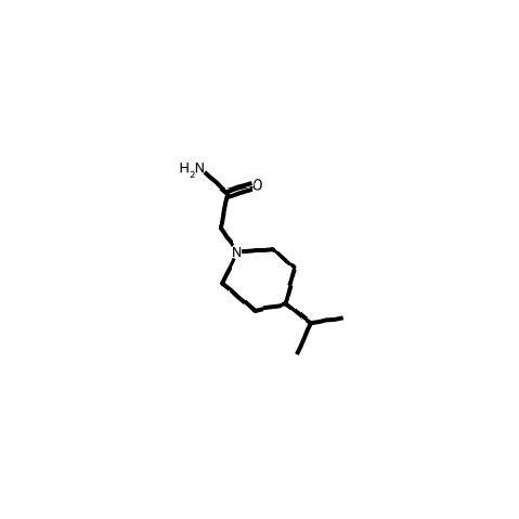 CC(C)C1CCN(CC(N)=O)CC1